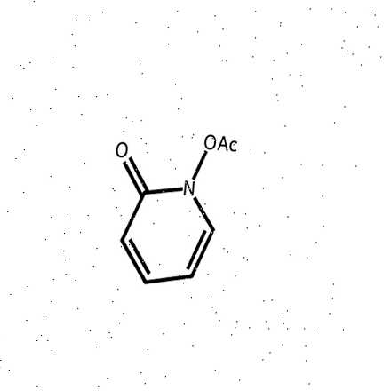 CC(=O)On1ccccc1=O